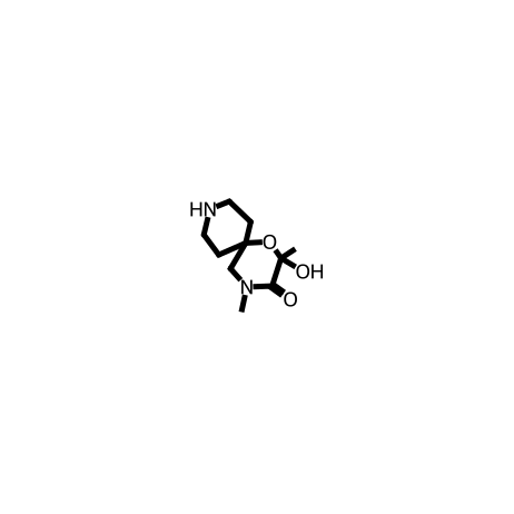 CN1CC2(CCNCC2)OC(C)(O)C1=O